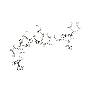 CCOc1cc(COc2nn(-c3ccccc3)cc2C=O)ccc1OCc1nc(-c2cccc(CC(=O)O)c2)oc1C